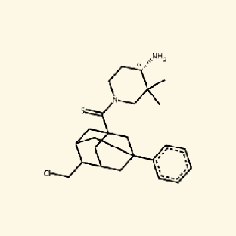 CC1(C)CN(C(=S)C23CC4CC(c5ccccc5)(CC(C2)C4CCl)C3)CC[C@@H]1N